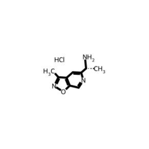 Cc1noc2cnc([C@@H](C)N)cc12.Cl